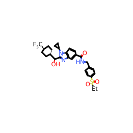 CCS(=O)(=O)c1ccc(CNC(=O)c2ccc3c(c2)nc([C@@H](O)[C@H]2CC[C@H](C(F)(F)F)CC2)n3C2CC2)cc1